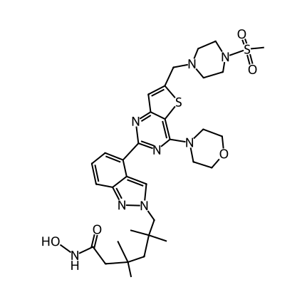 CC(C)(CC(=O)NO)CC(C)(C)Cn1cc2c(-c3nc(N4CCOCC4)c4sc(CN5CCN(S(C)(=O)=O)CC5)cc4n3)cccc2n1